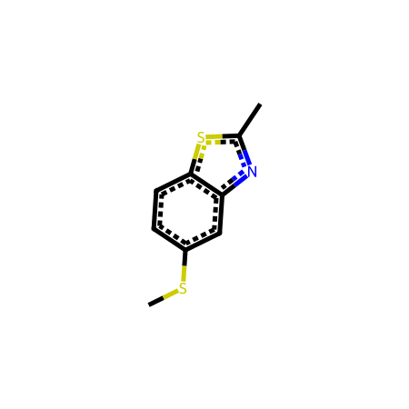 CSc1ccc2sc(C)nc2c1